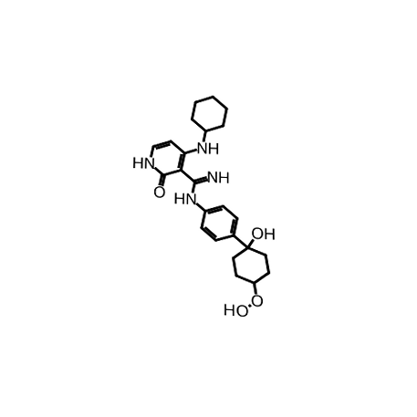 N=C(Nc1ccc(C2(O)CCC(OO)CC2)cc1)c1c(NC2CCCCC2)cc[nH]c1=O